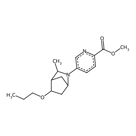 CCCOC1CC2CC1C(C)N2c1ccc(C(=O)OC)nc1